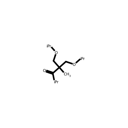 CC(C)OCC(C)(COC(C)C)C(=O)C(C)C